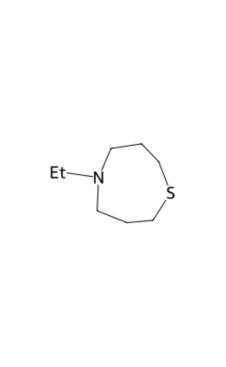 CCN1CCCSCCC1